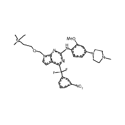 COc1cc(N2CCN(C)CC2)ccc1Nc1nc(C(F)(F)c2cccc([N+](=O)[O-])c2)c2ccn(COCC[Si](C)(C)C)c2n1